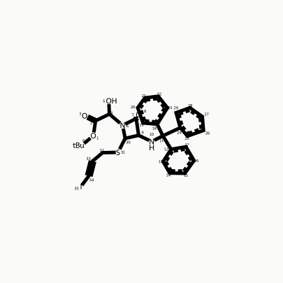 CC(C)(C)OC(=O)C(O)N1C(=O)C(NC(c2ccccc2)(c2ccccc2)c2ccccc2)C1SCC#CI